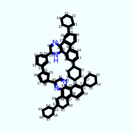 C1=Nc2c(c3cc(C4CCCCC4)ccc3c3ccc(C4CCCCC4)cc23)NC1c1cccc(-c2cccc(-c3cnc4c(n3)c3c(c5ccc(C6CCCCC6)cc54)CCC(C4CCCCC4)=C3)c2)c1